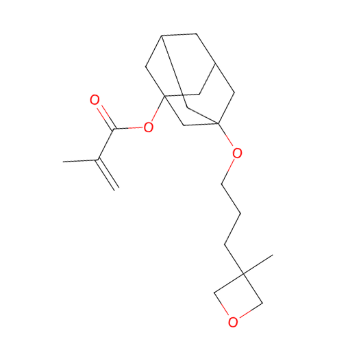 C=C(C)C(=O)OC12CC3CC(CC(OCCCC4(C)COC4)(C3)C1)C2